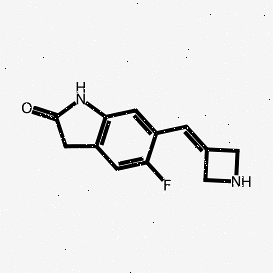 O=C1Cc2cc(F)c(C=C3CNC3)cc2N1